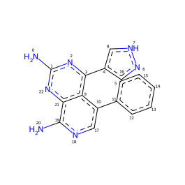 Nc1nc(-c2cn[nH]c2)c2c(-c3ccccc3)cnc(N)c2n1